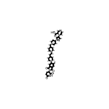 O=C1CCC(N2C(=O)c3cc(F)c(N4CCC(CCN5CCC(CN6CCC(n7cc(N8C=CN=CC8C(=O)O)cn7)CC6)CC5)CC4)cc3C2=O)C(=O)N1